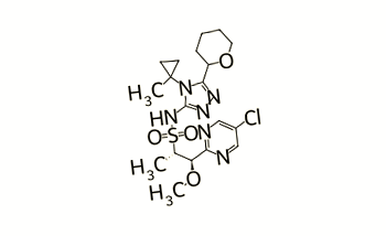 CO[C@H](c1ncc(Cl)cn1)[C@H](C)S(=O)(=O)Nc1nnc(C2CCCCO2)n1C1(C)CC1